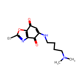 CCc1nc2c(o1)C(=O)C=C(NCCCCN(C)C)C2=O